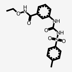 CCONC(=O)c1cccc(NC(=O)NS(=O)(=O)c2ccc(C)cc2)c1